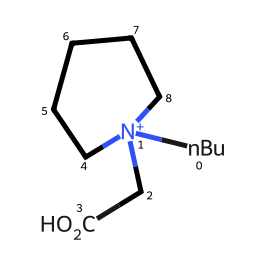 CCCC[N+]1(CC(=O)O)CCCCC1